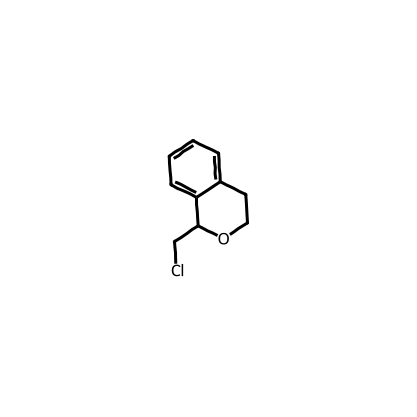 ClCC1OCCc2ccccc21